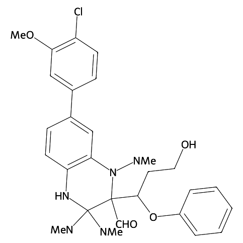 CNN1c2cc(-c3ccc(Cl)c(OC)c3)ccc2NC(NC)(NC)C1(C=O)C(CCO)Oc1ccccc1